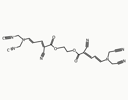 [C-]#[N+]CN(/C=C/C=C(\C#N)C(=O)OCCOC(=O)/C(C#N)=C/C=C/N(CC#N)CC#N)C[N+]#[C-]